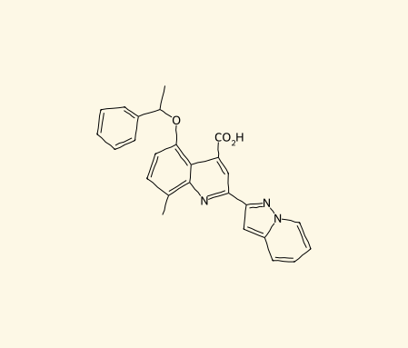 Cc1ccc(OC(C)c2ccccc2)c2c(C(=O)O)cc(-c3cc4ccccn4n3)nc12